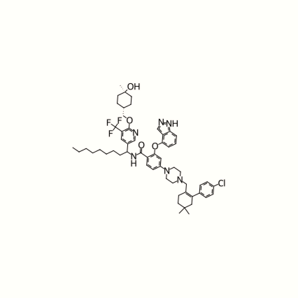 CCCCCCCCC(NC(=O)c1ccc(N2CCN(CC3=C(c4ccc(Cl)cc4)CC(C)(C)CC3)CC2)cc1Oc1cccc2[nH]ncc12)c1cnc(OC[C@H]2CC[C@](C)(O)CC2)c(C(F)(F)F)c1